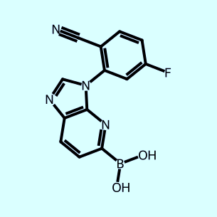 N#Cc1ccc(F)cc1-n1cnc2ccc(B(O)O)nc21